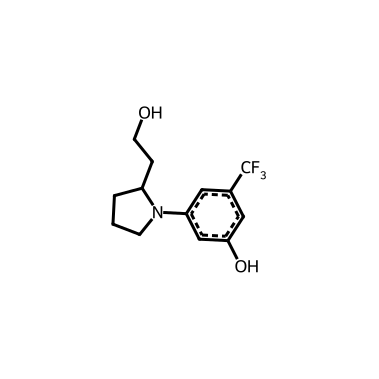 OCCC1CCCN1c1cc(O)cc(C(F)(F)F)c1